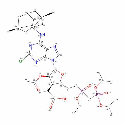 CCOP(=O)(CC[C@H]1O[C@@H](n2cnc3c(NC45CC6C[C@@](C)(C4)C[C@](C)(C6)C5)nc(Cl)nc32)[C@H](OC(C)=O)[C@@H]1CC(=O)O)CP(=O)(OC(C)C)OC(C)C